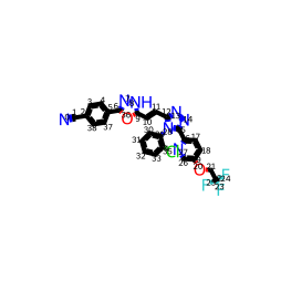 N#Cc1ccc(C2=NNC(/C=C/c3nnc(-c4ccc(OCC(F)(F)F)cn4)n3-c3ccccc3Cl)O2)cc1